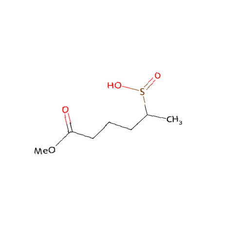 COC(=O)CCCC(C)S(=O)O